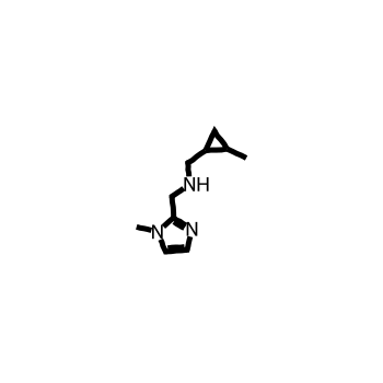 CC1CC1CNCc1nccn1C